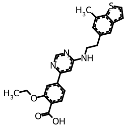 CCOc1cc(-c2cc(NCCc3cc(C)c4sccc4c3)ncn2)ccc1C(=O)O